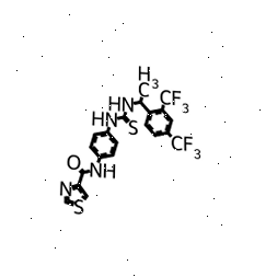 CC(NC(=S)Nc1ccc(NC(=O)c2cscn2)cc1)c1ccc(C(F)(F)F)cc1C(F)(F)F